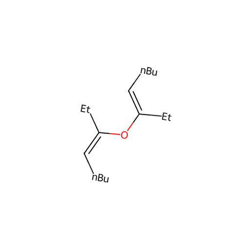 CCCCC=C(CC)OC(=CCCCC)CC